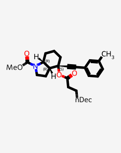 CCCCCCCCCCCCC(=O)O[C@@]1(C#Cc2cccc(C)c2)CCC[C@@H]2[C@H]1CCN2C(=O)OC